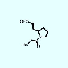 CC(C)(C)OC(=O)N1CCCC1C=CC=O